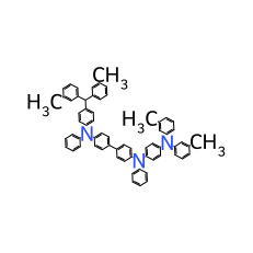 Cc1cccc(C(c2ccc(N(c3ccccc3)c3ccc(-c4ccc(N(c5ccccc5)c5ccc(N(c6cccc(C)c6)c6cccc(C)c6)cc5)cc4)cc3)cc2)c2cccc(C)c2)c1